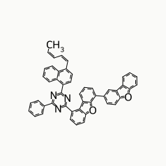 C/C=C\C=C/c1ccc(-c2nc(-c3ccccc3)nc(-c3cccc4oc5c(-c6ccc7oc8ccccc8c7c6)cccc5c34)n2)c2ccccc12